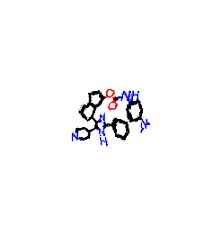 CN(C)c1ccc(NC(=O)Oc2ccc3cccc(-c4nc(-c5ccccc5)[nH]c4-c4ccncc4)c3c2)cc1